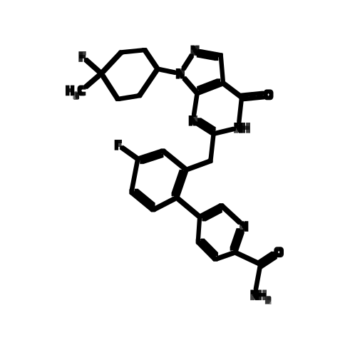 CC1(F)CCC(n2ncc3c(=O)[nH]c(Cc4cc(F)ccc4-c4ccc(C(N)=O)nc4)nc32)CC1